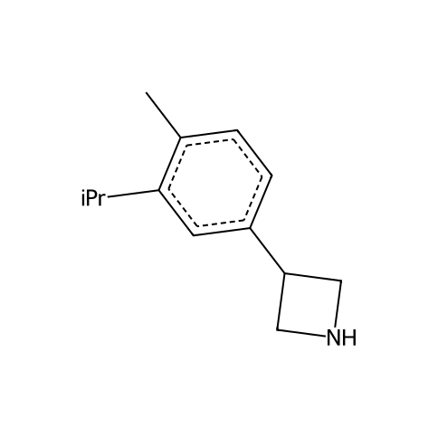 Cc1ccc(C2CNC2)cc1C(C)C